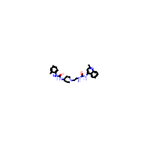 Cc1cc(NC(=O)NCCN2CCC(NC(=O)Nc3ccccc3C)CC2)c2ccccc2n1